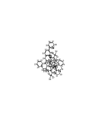 COc1ccccc1CN1CCN([C@H](C(=O)N[C@@H](Cc2ccccc2)[C@@H](O)C[C@@H](Cc2ccc(-c3ccccn3)cc2)NC(=O)[C@@H](N(C)C(=O)O)C(C)(C)C)C(C)(C)C)C1=O